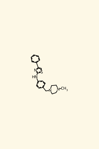 CN1CCN(Cc2ccc(Nc3nc(-c4ccccc4)cs3)cc2)CC1